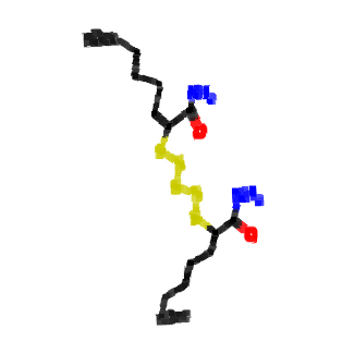 CCCCCCCCCCCCCCC(SSSSSC(CCCCCCCCCCCCCC)C(N)=O)C(N)=O